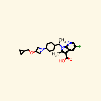 Cc1c(C(=O)O)c2cc(F)cnc2n1[C@H](C)C1CCC(N2CC(OCC3CC3)C2)CC1